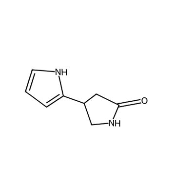 O=C1CC(c2ccc[nH]2)CN1